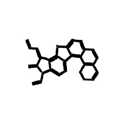 C=C/C=c1\c(=C)n(C=C)c2ccc3c(sc4ccc5ccc6c(c5c43)CCC=C6)c12